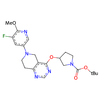 COc1ncc(N2CCc3ncnc(OC4CCN(C(=O)OC(C)(C)C)C4)c3C2)cc1F